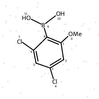 COc1cc(Cl)cc(Cl)c1B(O)O